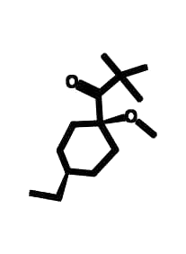 CC[C@H]1CC[C@](OC)(C(=O)C(C)(C)C)CC1